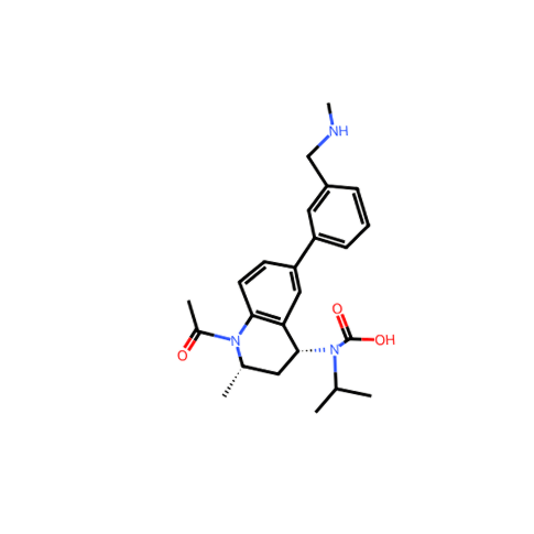 CNCc1cccc(-c2ccc3c(c2)[C@H](N(C(=O)O)C(C)C)C[C@H](C)N3C(C)=O)c1